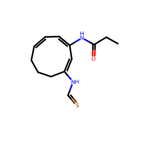 CCC(=O)NC1=C/C=C\CCC/C(NC=S)=C\1